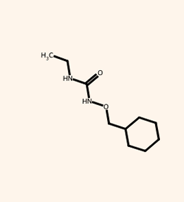 CCNC(=O)NOCC1CCCCC1